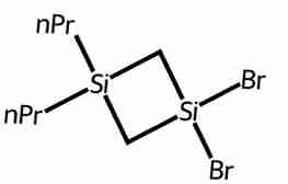 CCC[Si]1(CCC)C[Si](Br)(Br)C1